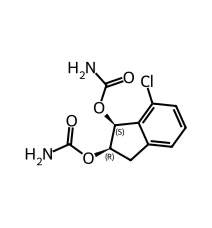 NC(=O)O[C@@H]1Cc2cccc(Cl)c2[C@@H]1OC(N)=O